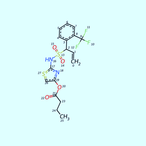 C=CC(c1ccccc1C(F)(F)F)S(=O)(=O)Nc1nc(OC(=O)CCC)cs1